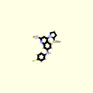 COC1CCCN1c1cc(C)nc2cc(Nc3ccc(F)cc3)ccc12